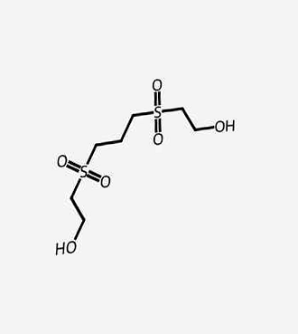 O=S(=O)(CCO)CCCS(=O)(=O)CCO